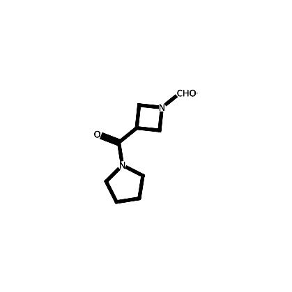 O=[C]N1CC(C(=O)N2CCCC2)C1